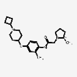 Cc1cc(OC2CCN(C3CCC3)CC2)ccc1NC(=O)CN1CCC[C@H]1C